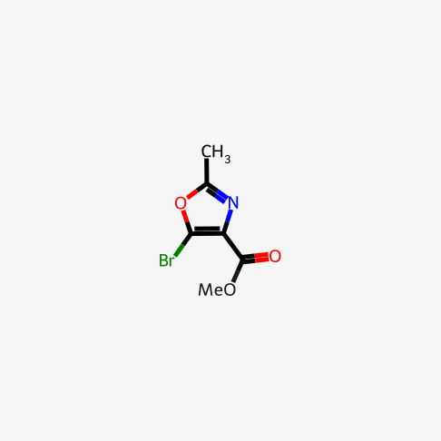 COC(=O)c1nc(C)oc1Br